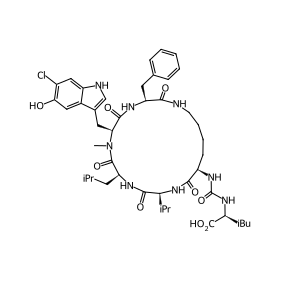 CCC(C)[C@H](NC(=O)N[C@@H]1CCCCNC(=O)[C@H](Cc2ccccc2)NC(=O)[C@H](Cc2c[nH]c3cc(Cl)c(O)cc23)N(C)C(=O)[C@H](CC(C)C)NC(=O)[C@H](C(C)C)NC1=O)C(=O)O